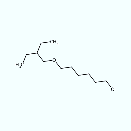 CCC(CC)COCCCCCC[O]